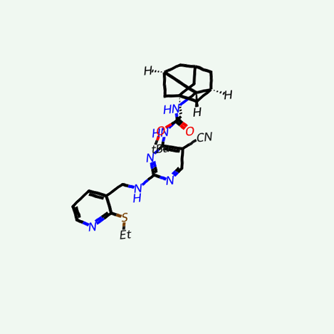 CCSc1ncccc1CNc1ncc(C#N)c(NC[C@@]23CC4C[C@H](C2)[C@@H](NC(=O)OC(C)(C)C)[C@@H](C4)C3)n1